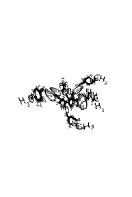 CCNC(=O)Nc1ncc(-c2cc(C(=O)OCC3CCN(C)CC3)cnc2OCC2CCN(C)CC2)c(-c2nc(C(F)(F)F)cs2)c1C(=O)OCC1CCN(C)CC1